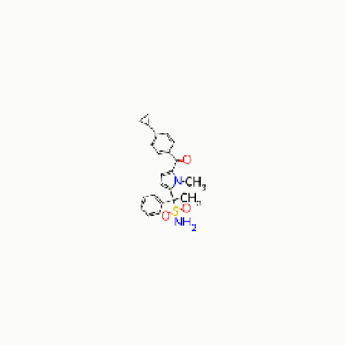 Cn1c(C(=O)c2ccc(C3CC3)cc2)ccc1C(C)(c1ccccc1)S(N)(=O)=O